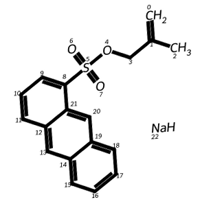 C=C(C)COS(=O)(=O)c1cccc2cc3ccccc3cc12.[NaH]